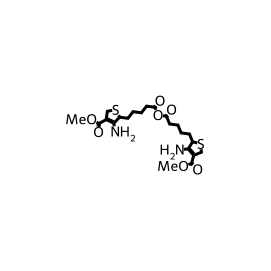 COC(=O)C1=C(N)C(CCCCC(=O)OC(=O)CCCCC2SCC(C(=O)OC)=C2N)SC1